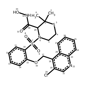 CC1(C)SCCN(S(=O)(=O)c2ccccc2OCc2c(Cl)cnc3ccccc23)C1C(=O)NO